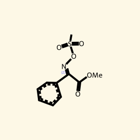 COC(=O)/C(=N\OS(C)(=O)=O)c1ccccc1